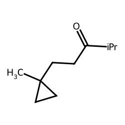 CC(C)C(=O)CCC1(C)CC1